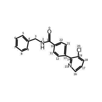 O=C(NCc1ccccc1)c1ccc(-c2ncccc2Cl)cc1